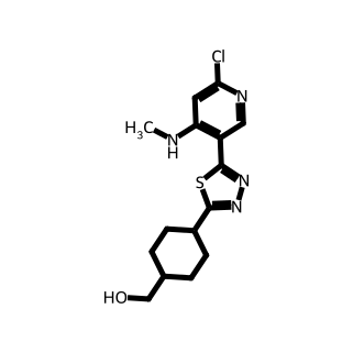 CNc1cc(Cl)ncc1-c1nnc(C2CCC(CO)CC2)s1